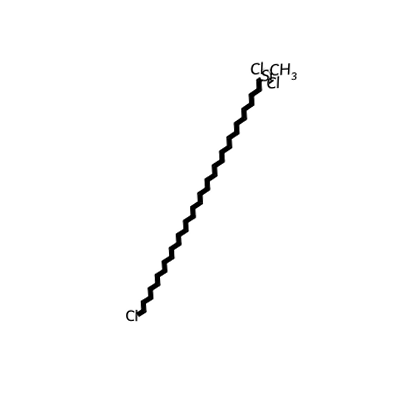 C[Si](Cl)(Cl)CCCCCCCCCCCCCCCCCCCCCCCCCCCCCCCCCCCl